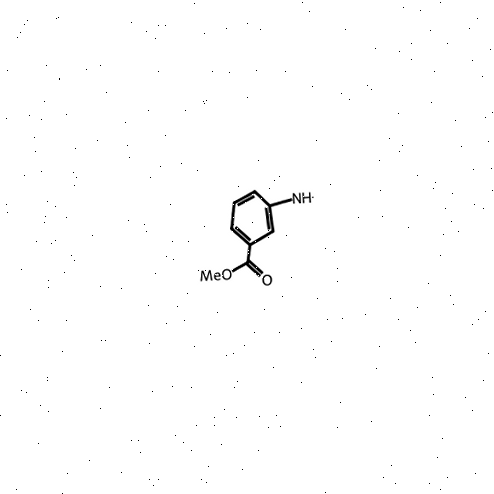 COC(=O)c1cccc([NH])c1